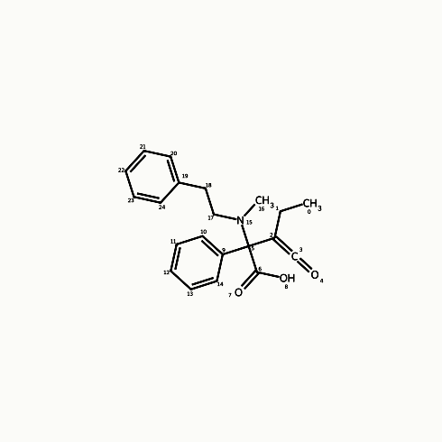 CCC(=C=O)C(C(=O)O)(c1ccccc1)N(C)CCc1ccccc1